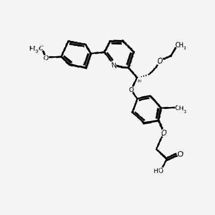 CCOC[C@H](Oc1ccc(OCC(=O)O)c(C)c1)c1cccc(-c2ccc(OC)cc2)n1